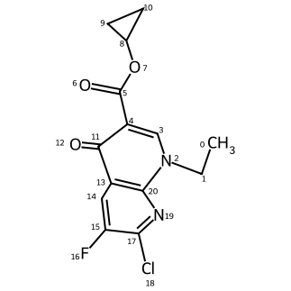 CCn1cc(C(=O)OC2CC2)c(=O)c2cc(F)c(Cl)nc21